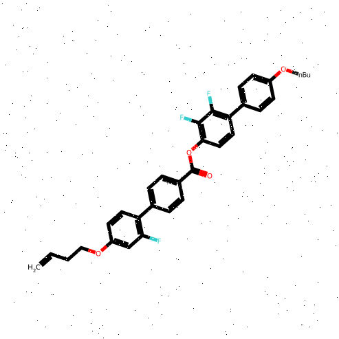 C=CCCOc1ccc(-c2ccc(C(=O)Oc3ccc(-c4ccc(OCCCC)cc4)c(F)c3F)cc2)c(F)c1